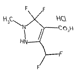 CN1NC(C(F)F)=C(C(=O)O)C1(F)F.Cl